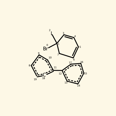 BrC1(I)C=CC=CC1.c1ccc(-c2ccccc2)cc1